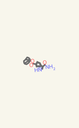 NC(=O)c1c[nH]c2cc(C(=O)OC3C4CC5CC(C4)CC3C5)ccc12